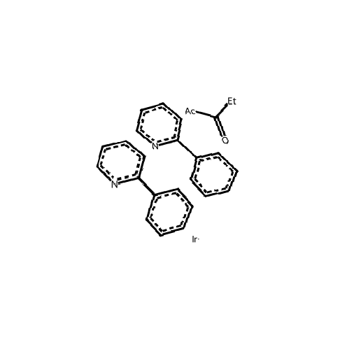 CCC(=O)C(C)=O.[Ir].c1ccc(-c2ccccn2)cc1.c1ccc(-c2ccccn2)cc1